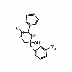 OC1(Oc2cccc(C(F)(F)F)c2)CON(Cl)C(c2ccncc2)N1